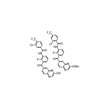 COc1cnc2ccc(C(=O)c3cccc(NC(=O)c4ccc(C(F)(F)F)cc4Cl)c3F)cc2n1.N#Cc1cnc2ccc(C(=O)c3cccc(NC(=O)c4ccc(C(F)(F)F)c(Cl)c4)c3F)cc2n1